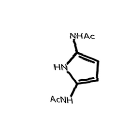 CC(=O)Nc1ccc(NC(C)=O)[nH]1